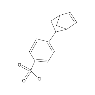 O=S(=O)(Cl)c1ccc(C2CC3C=CC2C3)cc1